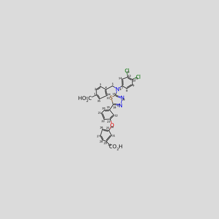 O=C(O)c1ccc(CN(c2ccc(Cl)c(Cl)c2)c2nnc(-c3cccc(Oc4cccc(C(=O)O)c4)c3)s2)cc1